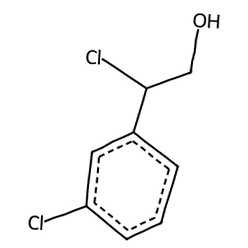 OCC(Cl)c1cccc(Cl)c1